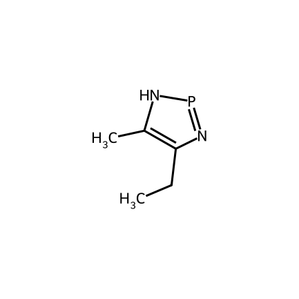 CCc1np[nH]c1C